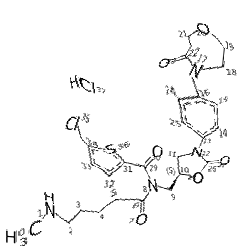 CNCCCCC(=O)N(C[C@H]1CN(c2ccc(N3CCOCC3=O)cc2)C(=O)O1)C(=O)c1ccc(Cl)s1.Cl